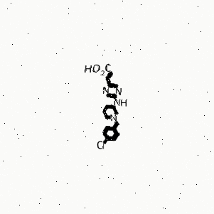 O=C(O)C=Cc1cnc(N[C@@H]2CCCN(Cc3ccc(Cl)cc3)C2)cn1